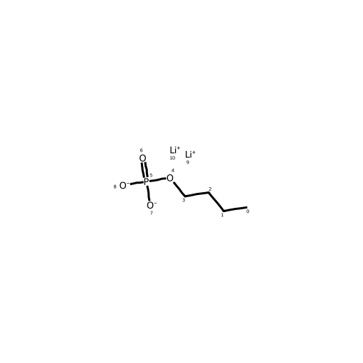 CCCCOP(=O)([O-])[O-].[Li+].[Li+]